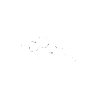 Cc1cc(F)ccc1-c1cnc(NCCN(C)C)nc1C(=O)O